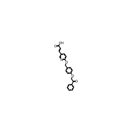 O=C(O)C=Cc1ccc(OCc2ccc(OCC(=O)c3ccccc3)cc2)nc1